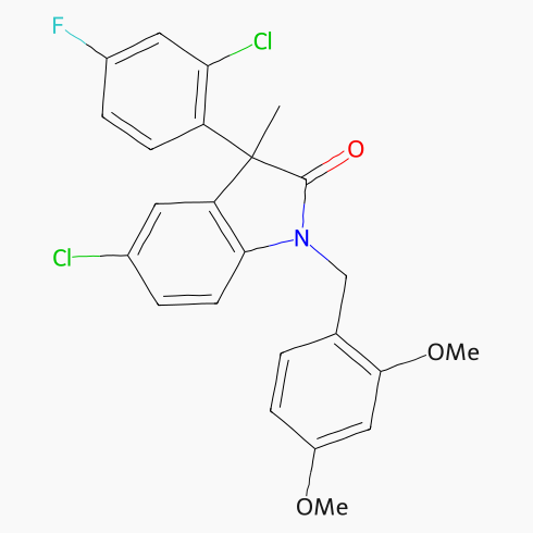 COc1ccc(CN2C(=O)C(C)(c3ccc(F)cc3Cl)c3cc(Cl)ccc32)c(OC)c1